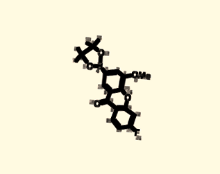 COc1cc(B2OC(C)(C)C(C)(C)O2)cc2c(=O)c3ccc(F)cc3oc12